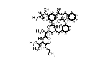 CCNC(=O)[C@@H](NC(=O)[C@H](C)NC[C@H](Cc1ccccc1)NC(=O)c1cc(C(=O)N(Cc2ccccc2)C(C)C)cc(N(C)S(C)(=O)=O)c1)C(C)C